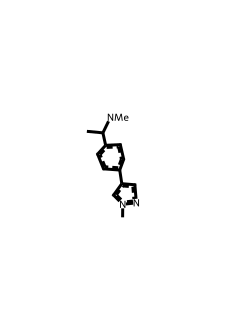 CNC(C)c1ccc(-c2cnn(C)c2)cc1